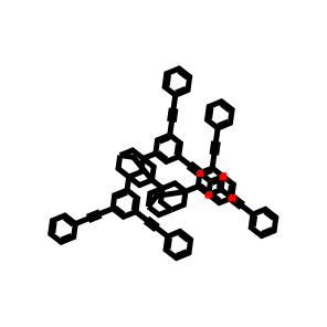 C(#Cc1cc(C#Cc2ccccc2)cc(C23CC4CC(C2)CC(C25CC6CC(c7cc(C#Cc8ccccc8)cc(C#Cc8ccccc8)c7)(CC(c7cc(C#Cc8ccccc8)cc(C#Cc8ccccc8)c7)(C6)C2)C5)(C4)C3)c1)c1ccccc1